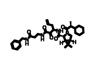 C=CCC(NC(=O)[C@@H]1[C@@H]2[C@H](CN1C(=O)[C@@H](C)C1CCCCC1)C2(C)C)C(=O)C(=O)NCCC(=O)NCc1ccccc1